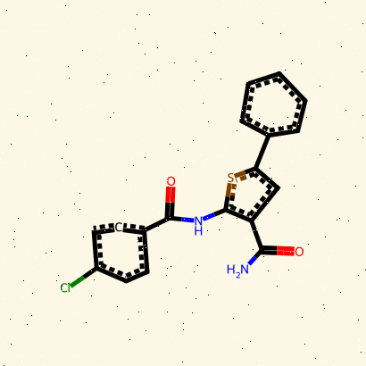 NC(=O)c1cc(-c2ccccc2)sc1NC(=O)c1ccc(Cl)cc1